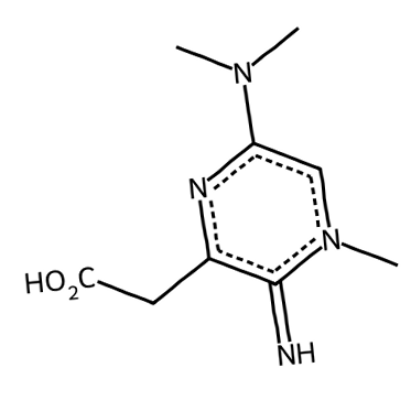 CN(C)c1cn(C)c(=N)c(CC(=O)O)n1